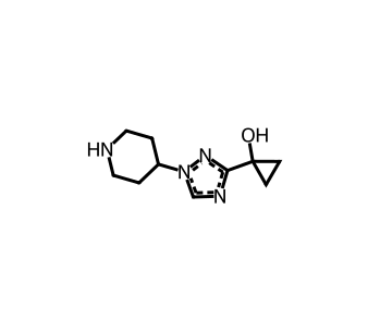 OC1(c2ncn(C3CCNCC3)n2)CC1